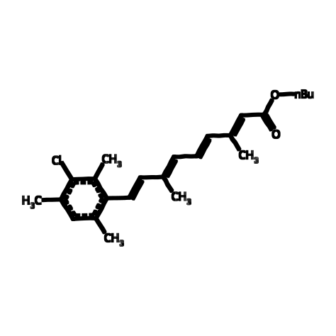 CCCCOC(=O)/C=C(C)/C=C/C=C(C)/C=C/c1c(C)cc(C)c(Cl)c1C